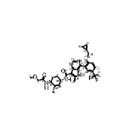 COCC(=O)N[C@@H]1CC[C@@H](NC(=O)c2c(C)[nH]c3c(-c4cc(C(F)(F)F)ccc4OCC4CC4)ncnc23)C[C@H]1C